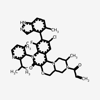 C=CC(=O)N1CC2COc3c(c4cc(Cl)c(-c5c(C)ccc6[nH]ncc56)c(F)c4n(-c4c(C)ccnc4C(C)C)c3=O)N2CC1C